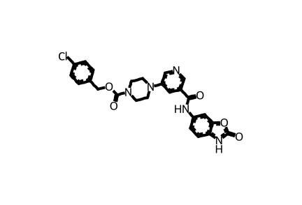 O=C(Nc1ccc2[nH]c(=O)oc2c1)c1cncc(N2CCN(C(=O)OCc3ccc(Cl)cc3)CC2)c1